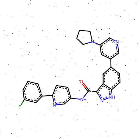 O=C(Nc1ccc(-c2cccc(F)c2)nc1)c1n[nH]c2ccc(-c3cncc(N4CCCC4)c3)cc12